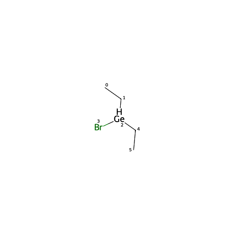 C[CH2][GeH]([Br])[CH2]C